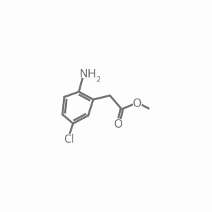 COC(=O)Cc1cc(Cl)ccc1N